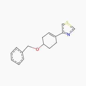 C1=C(c2cscn2)CCC(OCc2ccccc2)C1